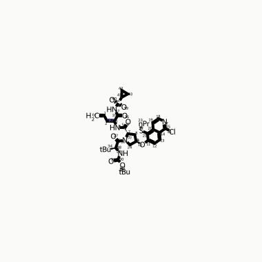 C=C/C=C(/NC(=O)[C@@H]1C[C@@H](Oc2ccc3c(Cl)nccc3c2SCCC)CN1C(=O)[C@@H](NC(=O)OC(C)(C)C)C(C)(C)C)C(=O)NS(=O)(=O)C1CC1